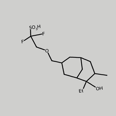 CCC1(O)C(C)CC2CC(COCC(F)(F)S(=O)(=O)O)CC1C2